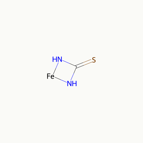 S=C1[NH][Fe][NH]1